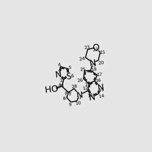 O[C@@H](c1nccs1)[C@@H]1CCCN(c2ncnc3cc(N4CCOCC4)ccc23)C1